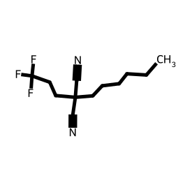 CCCCCCC(C#N)(C#N)CCC(F)(F)F